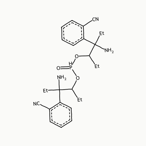 CCC(O[PH](=O)OC(CC)C(N)(CC)c1ccccc1C#N)C(N)(CC)c1ccccc1C#N